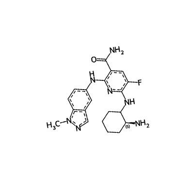 Cn1ncc2cc(Nc3nc(NC4CCCC[C@@H]4N)c(F)cc3C(N)=O)ccc21